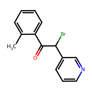 Cc1ccccc1C(=O)C(Br)c1cccnc1